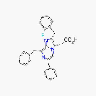 O=C(O)Cc1c(Cc2ccccc2F)nc2c(Cc3ccccc3)nc(-c3ccccc3)cn12